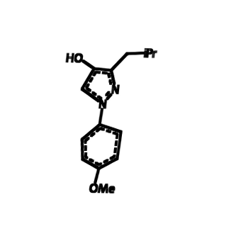 COc1ccc(-n2cc(O)c(CC(C)C)n2)cc1